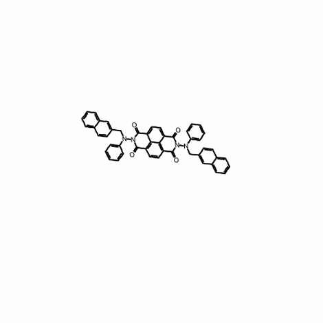 O=C1c2ccc3c4c(ccc(c24)C(=O)N1N(Cc1ccc2ccccc2c1)c1ccccc1)C(=O)N(N(Cc1ccc2ccccc2c1)c1ccccc1)C3=O